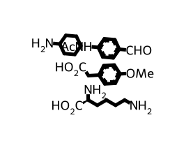 CC(=O)Nc1ccc(C=O)cc1.COc1ccc(CC(=O)O)cc1.NC1CCCCC1.NCCCC[C@H](N)C(=O)O